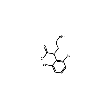 CCCCOCN(C(=O)Cl)c1c(CC)cccc1CC